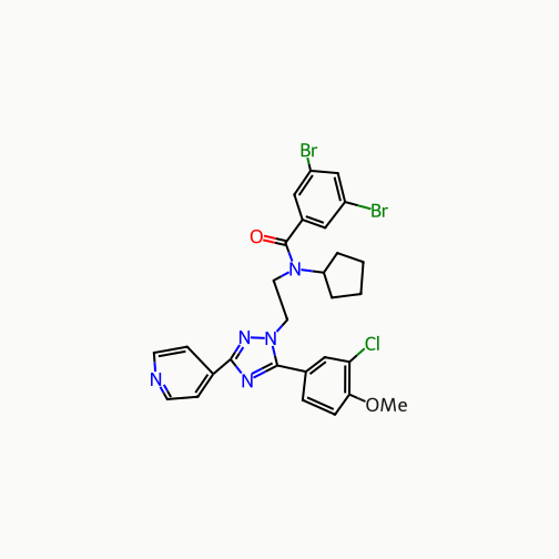 COc1ccc(-c2nc(-c3ccncc3)nn2CCN(C(=O)c2cc(Br)cc(Br)c2)C2CCCC2)cc1Cl